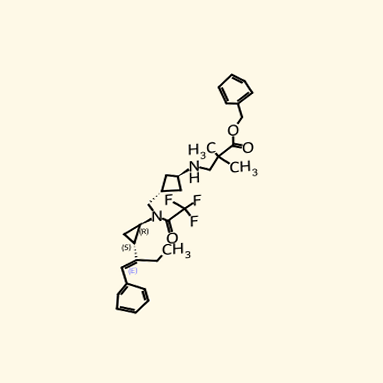 CC/C(=C\c1ccccc1)[C@@H]1C[C@H]1N(C[C@H]1C[C@H](NCC(C)(C)C(=O)OCc2ccccc2)C1)C(=O)C(F)(F)F